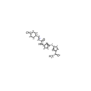 CC(=O)c1ccc(Cn2ccc(NC(=O)/C=C/c3ccc(Cl)cc3)n2)o1